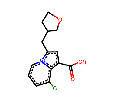 O=C(O)c1cc(CC2CCOC2)n2cccc(Cl)c12